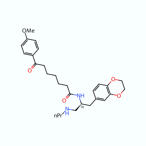 CCCNC[C@H](Cc1ccc2c(c1)OCCO2)NC(=O)CCCCCC(=O)c1ccc(OC)cc1